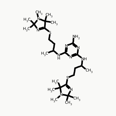 CC(CCSC1=NC(C)(C)N(C)C1(C)C)Nc1nc(N)nc(NC(C)CCSC2=NC(C)(C)N(C)C2(C)C)n1